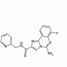 Nc1nc2c(F)cccc2c2nc(C(=O)NCc3ccccn3)cn12